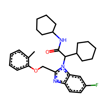 Cc1ccccc1OCc1nc2ccc(F)cc2n1C(C(=O)NC1CCCCC1)C1CCCCC1